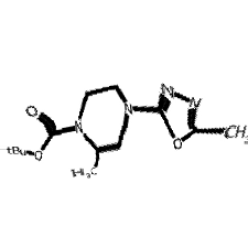 Cc1nnc(N2CCN(C(=O)OC(C)(C)C)C(C)C2)o1